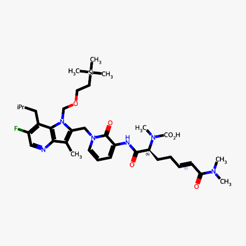 Cc1c(Cn2cccc(NC(=O)[C@H](CC/C=C/C(=O)N(C)C)N(C)C(=O)O)c2=O)n(COCC[Si](C)(C)C)c2c(CC(C)C)c(F)cnc12